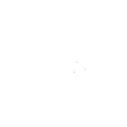 O=C(O)c1ccnc(NS(=O)(=O)c2ccc3ccccc3c2)n1